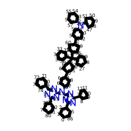 c1ccc(-c2nc(-c3ccccc3)nc(N(c3ccc(-c4ccc(C(c5ccccc5)(c5ccccc5)c5ccc(-c6ccc(N(c7ccccc7)c7ccccc7)cc6)cc5)cc4)cc3)c3nc(-c4ccccc4)nc(-c4ccccc4)n3)n2)cc1